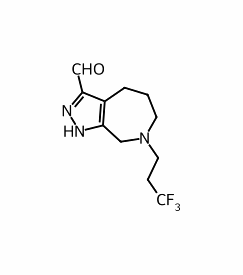 O=Cc1n[nH]c2c1CCCN(CCC(F)(F)F)C2